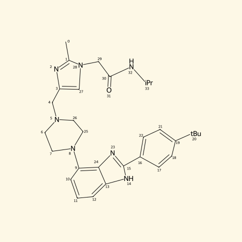 Cc1nc(CN2CCN(c3cccc4[nH]c(-c5ccc(C(C)(C)C)cc5)nc34)CC2)cn1CC(=O)NC(C)C